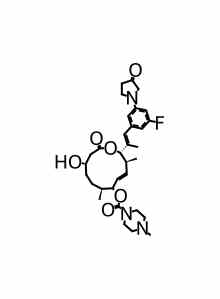 C/C(=C\c1cc(F)cc(N2CCC(=O)C2)c1)[C@H]1OC(=O)C[C@H](O)CC[C@H](C)C(OC(=O)N2CCN(C)CC2)/C=C/[C@@H]1C